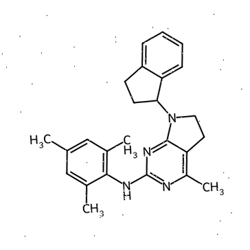 Cc1cc(C)c(Nc2nc(C)c3c(n2)N(C2CCc4ccccc42)CC3)c(C)c1